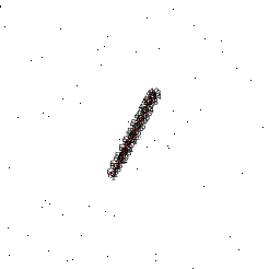 C1CCC(C2CCC(C3CCC(C4CCC(C5CCC(C6CCC(C7CCC(C8CCC(C9CCC(C%10CCC(C%11CCCC%11)CC%10)CC9)CC8)CC7)CC6)CC5)CC4)CC3)CC2)C1